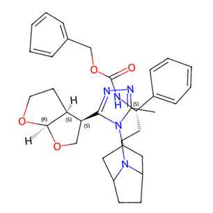 Cc1nnc([C@H]2CO[C@H]3OCC[C@H]32)n1C1CC2CCC(C1)N2CC[C@H](NC(=O)OCc1ccccc1)c1ccccc1